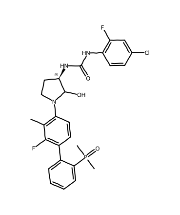 Cc1c(N2CC[C@@H](NC(=O)Nc3ccc(Cl)cc3F)C2O)ccc(-c2ccccc2P(C)(C)=O)c1F